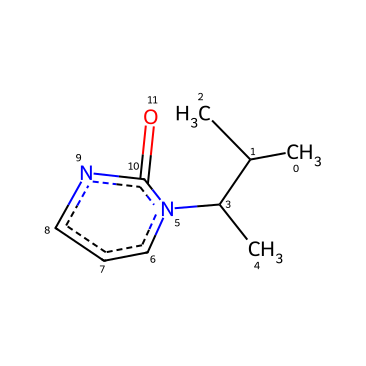 CC(C)C(C)n1cccnc1=O